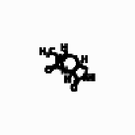 CN1C(=O)N2C[C@H]1C[C@H]1CNC(=O)[C@H]12